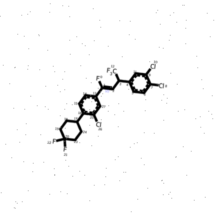 F/C(=C\C(c1ccc(Cl)c(Cl)c1)C(F)(F)F)c1ccc(C2CCC(F)(F)CC2)c(Cl)c1